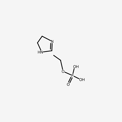 C1=NCCN1.CCOP(=O)(O)O